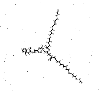 CCCCCCCCCCCCCCCCCC(=O)OCC(COP(=O)(O)OCCNC(=O)OC(C)(C)CO)OC(=O)CCCCCCCCCCCCCCCCC